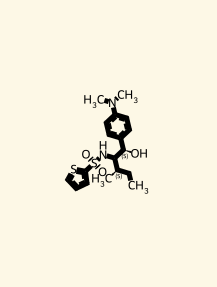 CC[C@H](C)C(NS(=O)(=O)c1cccs1)[C@@H](O)c1ccc(N(C)C)cc1